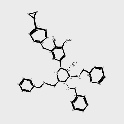 CSc1cc([C@@H]2O[C@H](COCc3ccccc3)[C@@H](OCc3ccccc3)[C@H](OCc3ccccc3)[C@H]2O)cc(Cc2ccc(C3CC3)cc2)c1C#N